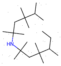 CCC(C)C(C)(C)CC(C)(C)NC(C)(C)CC(C)(C)C(C)C